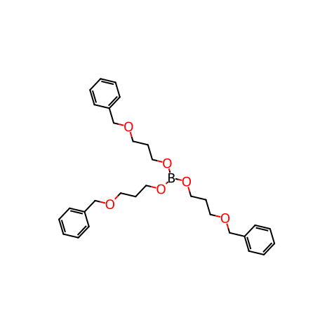 c1ccc(COCCCOB(OCCCOCc2ccccc2)OCCCOCc2ccccc2)cc1